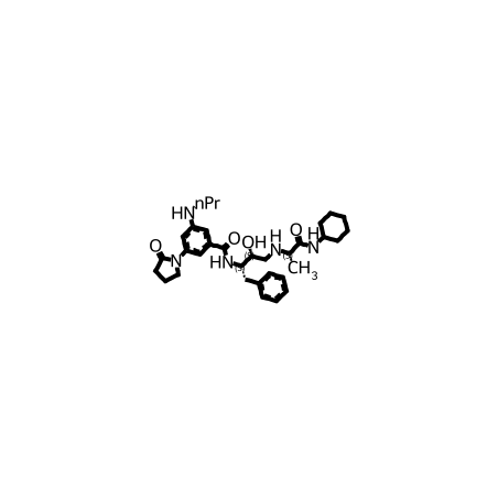 CCCNc1cc(C(=O)N[C@@H](Cc2ccccc2)[C@@H](O)CN[C@@H](C)C(=O)NC2CCCCC2)cc(N2CCCC2=O)c1